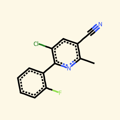 Cc1nc(-c2ccccc2F)c(Cl)cc1C#N